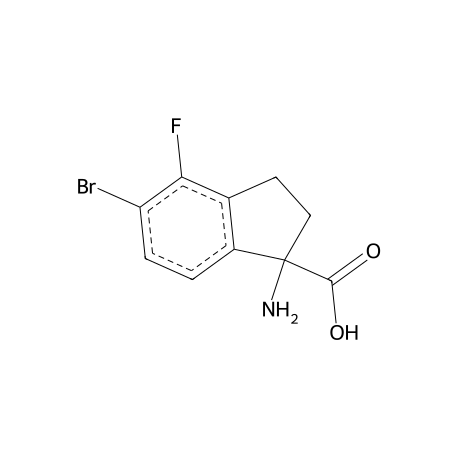 NC1(C(=O)O)CCc2c1ccc(Br)c2F